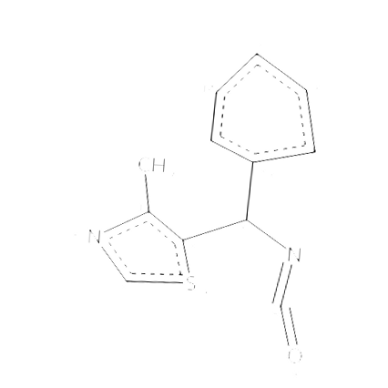 Cc1ncsc1C(N=C=O)c1ccccc1